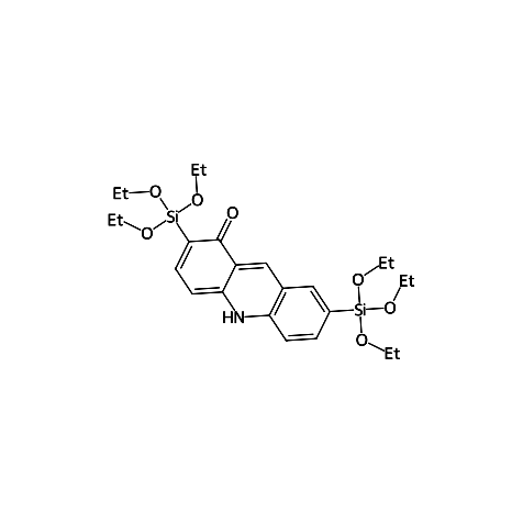 CCO[Si](OCC)(OCC)c1ccc2[nH]c3ccc([Si](OCC)(OCC)OCC)c(=O)c-3cc2c1